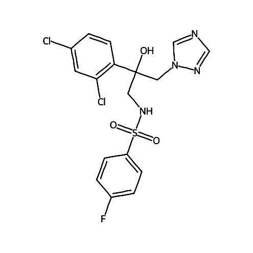 O=S(=O)(NCC(O)(Cn1cncn1)c1ccc(Cl)cc1Cl)c1ccc(F)cc1